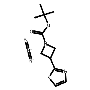 CC(C)(C)OC(=O)N1CC(c2nccs2)C1.[N-]=[N+]=[N-]